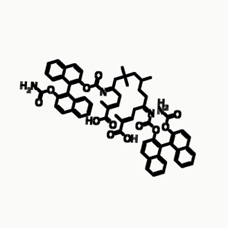 CC(=CCC(CCC(C)CC(C)(C)CC(CC=C(C)C(=O)O)=NC(=O)Oc1ccc2ccccc2c1-c1c(OC(N)=O)ccc2ccccc12)=NC(=O)Oc1ccc2ccccc2c1-c1c(OC(N)=O)ccc2ccccc12)C(=O)O